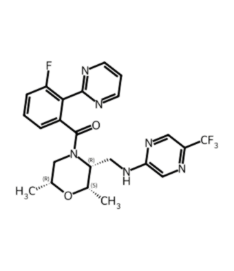 C[C@@H]1CN(C(=O)c2cccc(F)c2-c2ncccn2)[C@H](CNc2cnc(C(F)(F)F)cn2)[C@H](C)O1